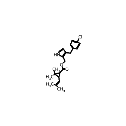 CC(C)=CC1C(C(=O)OCc2[nH]ccc2Cc2ccc(Cl)cc2)C1(C)C